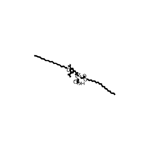 CCCCCCCCCCCCCCCCCCOC(=O)CSC(SCC(=O)O)C(C)(C)Cc1cc(C(C)C)c(OCCCCCCCCCCCCCCCCCC)c(C(C)C)c1